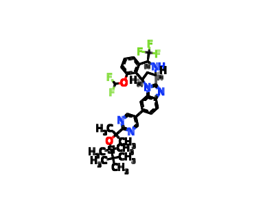 CC(C)(O[Si](C)(C)C(C)(C)C)c1ncc(-c2ccc3nc4n(c3c2)[C@@H]2C[C@H]4N[C@H](C(F)(F)F)c3cccc(OC(F)F)c32)cn1